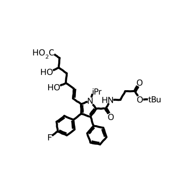 CC(C)n1c(C=CC(O)CC(O)CC(=O)O)c(-c2ccc(F)cc2)c(-c2ccccc2)c1C(=O)NCCC(=O)OC(C)(C)C